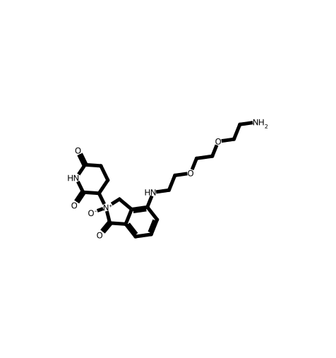 NCCOCCOCCNc1cccc2c1C[N+]([O-])(C1CCC(=O)NC1=O)C2=O